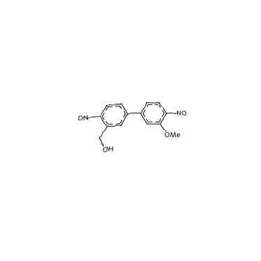 COc1cc(-c2ccc(N=O)c(CO)c2)ccc1N=O